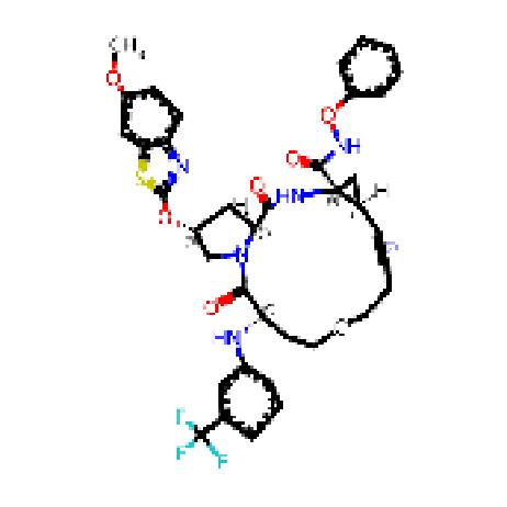 COc1ccc2nc(O[C@@H]3C[C@H]4C(=O)N[C@]5(C(=O)NOc6ccccc6)C[C@H]5/C=C\CCCCC[C@H](Nc5cccc(C(F)(F)F)c5)C(=O)N4C3)sc2c1